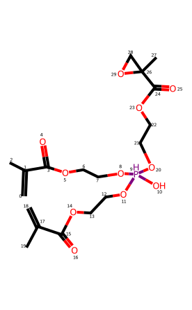 C=C(C)C(=O)OCCO[PH](O)(OCCOC(=O)C(=C)C)OCCOC(=O)C1(C)CO1